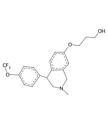 CN1Cc2cc(OCCCO)ccc2C(c2ccc(OC(F)(F)F)cc2)C1